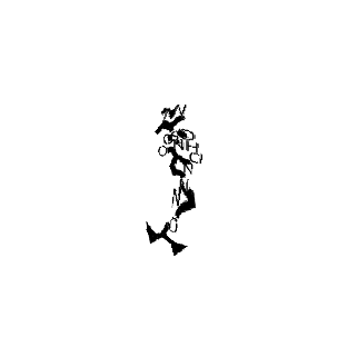 Cc1c(S(=O)(=O)NC(=O)c2ccc(-n3ccc(OCC(C4CC4)C4CC4)n3)nc2Cl)cnn1C